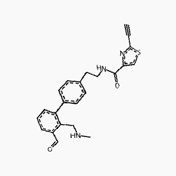 C#Cc1nc(C(=O)NCCc2ccc(-c3cccc(C=O)c3CNC)cc2)cs1